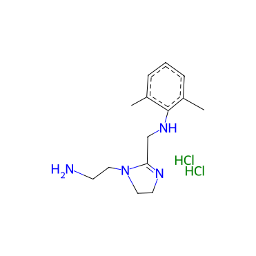 Cc1cccc(C)c1NCC1=NCCN1CCN.Cl.Cl